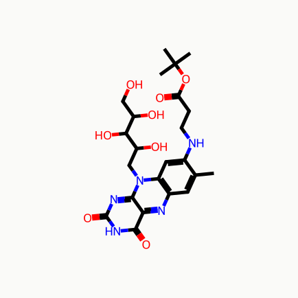 Cc1cc2nc3c(=O)[nH]c(=O)nc-3n(CC(O)C(O)C(O)CO)c2cc1NCCC(=O)OC(C)(C)C